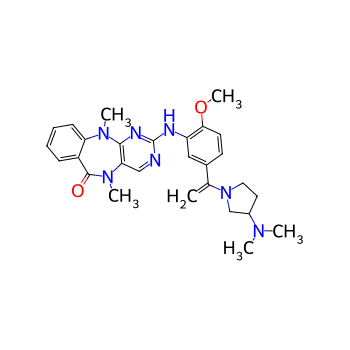 C=C(c1ccc(OC)c(Nc2ncc3c(n2)N(C)c2ccccc2C(=O)N3C)c1)N1CCC(N(C)C)C1